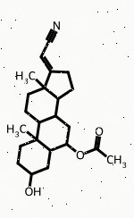 CC(=O)OC1CC2C3CCC(=CC#N)C3(C)CCC2C2(C)CCC(O)CC12